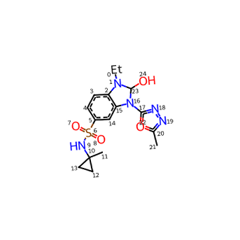 CCN1c2ccc(S(=O)(=O)NC3(C)CC3)cc2N(c2nnc(C)o2)C1O